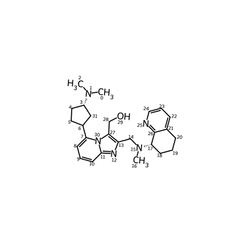 CN(C)[C@H]1CCC(c2cccc3nc(CN(C)[C@H]4CCCc5cccnc54)c(CO)n23)C1